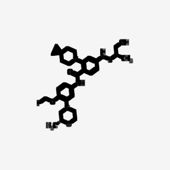 C[C@@H]1CN(c2cc(NC(=O)c3ccc(NS[C@H](C)CO)cc3N3CCC4(CC3)CC4)ccc2OCF)CCO1